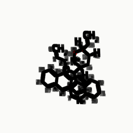 C=CCOC(c1ccnc2ccccc12)[C@H]1C[C@@H]2CC[N@@+]1(Cc1c3ccccc3cc3ccccc13)C[C@@H]2C=C